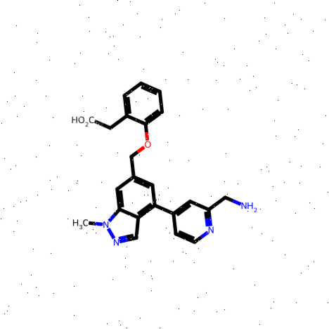 Cn1ncc2c(-c3ccnc(CN)c3)cc(COc3ccccc3CC(=O)O)cc21